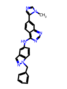 Cn1cncc1-c1ccc2c(Nc3ccc4c(cnn4Cc4ccccc4)c3)ncnc2c1